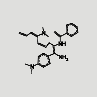 C=C/C=C(\C=C/C/C(NC(=C)c1ccccc1)=C(/N)c1ccc(N(C)C)cc1)N(C)C